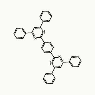 c1ccc(-c2cc(-c3ccccc3)nc(-c3ccc(-c4nc(-c5ccccc5)cc(-c5ccccc5)n4)cc3)n2)cc1